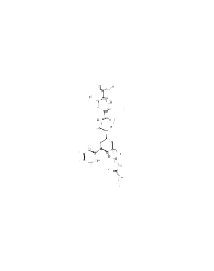 CCNC(=O)Nc1nc2cc(-c3cnc([C@H](C)CC(C)[C@@H](N)C(=O)O)nc3)cc(-c3ccccn3)c2s1